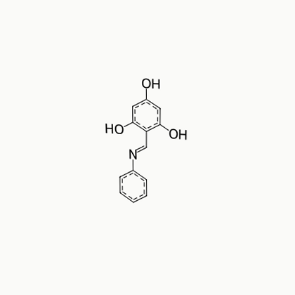 Oc1cc(O)c(C=Nc2ccccc2)c(O)c1